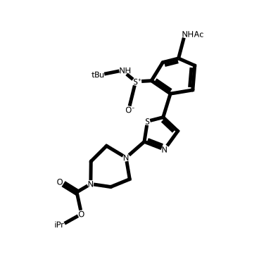 CC(=O)Nc1ccc(-c2cnc(N3CCN(C(=O)OC(C)C)CC3)s2)c([S+]([O-])NC(C)(C)C)c1